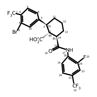 O=C(O)[C@@H]1[C@@H](c2ccc(C(F)(F)F)c(Br)c2)CCC[C@H]1C(=O)Nc1ccc(C(F)(F)F)cc1F